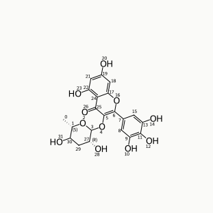 C[C@@H]1OC(Oc2c(-c3cc(O)c(O)c(O)c3)oc3cc(O)cc(O)c3c2=O)[C@H](O)CC1O